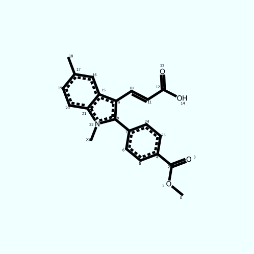 COC(=O)c1ccc(-c2c(/C=C/C(=O)O)c3cc(C)ccc3n2C)cc1